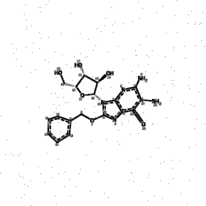 Nc1nc2c(nc(OCc3ccccc3)n2[C@@H]2O[C@H](CO)[C@H](O)[C@H]2O)c(=O)n1N